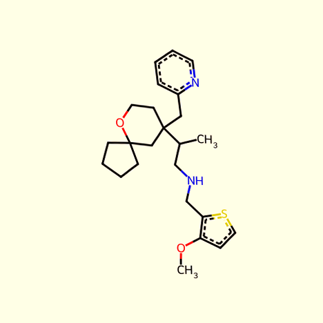 COc1ccsc1CNCC(C)C1(Cc2ccccn2)CCOC2(CCCC2)C1